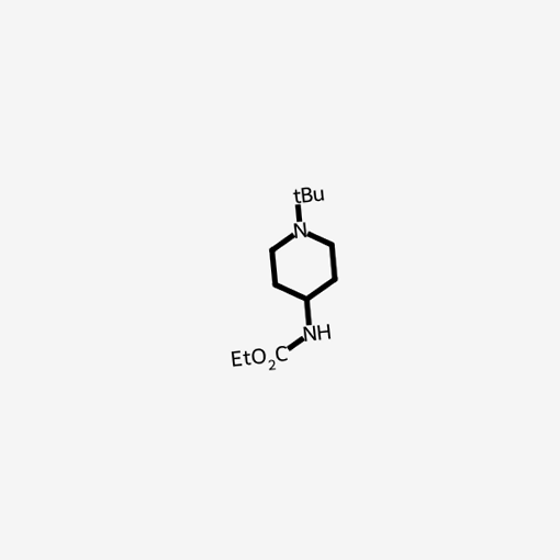 CCOC(=O)NC1CCN(C(C)(C)C)CC1